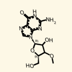 COC1C(O)[C@H](n2cnc3c(=O)[nH]c(N)nc32)O[C@@H]1CO